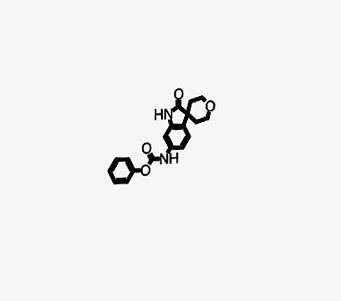 O=C(Nc1ccc2c(c1)NC(=O)C21CCOCC1)Oc1ccccc1